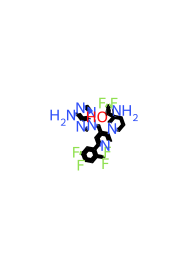 Nc1ncnc2c1ncn2Cc1cc(-c2cc(F)c(F)cc2C(F)F)ncc1N1CCCC(N)([C@@H](O)C(F)F)C1